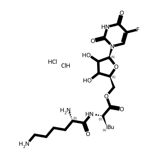 CC[C@H](C)[C@H](NC(=O)[C@@H](N)CCCCN)C(=O)OC[C@@H]1O[C@H](n2cc(F)c(=O)[nH]c2=O)C(O)C1O.Cl.Cl